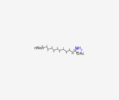 CCCCCCCCCCCCCCCCCCCC(N)OC(C)=O